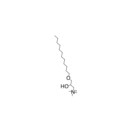 CCCCCCCCCCCCOCC(O)C[N+](C)(C)C